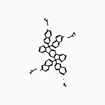 c1ccc2c(c1)-c1cc3c(cc1C2(c1ccc2cc(OCC4CO4)ccc2c1)c1ccc2cc(OCC4CO4)ccc2c1)-c1ccccc1C3(c1ccc2cc(OCC3CO3)ccc2c1)c1ccc2cc(OC[C@@H]3CO3)ccc2c1